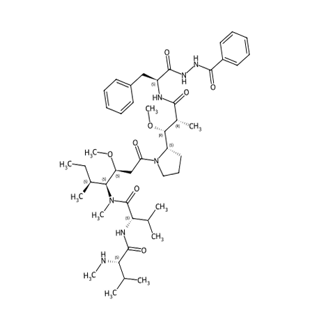 CC[C@H](C)[C@@H]([C@H](CC(=O)N1CCC[C@H]1[C@H](OC)[C@@H](C)C(=O)N[C@@H](Cc1ccccc1)C(=O)NNC(=O)c1ccccc1)OC)N(C)C(=O)[C@@H](NC(=O)[C@@H](NC)C(C)C)C(C)C